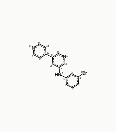 Brc1cccc(Nc2cncc(-c3ccncc3)c2)c1